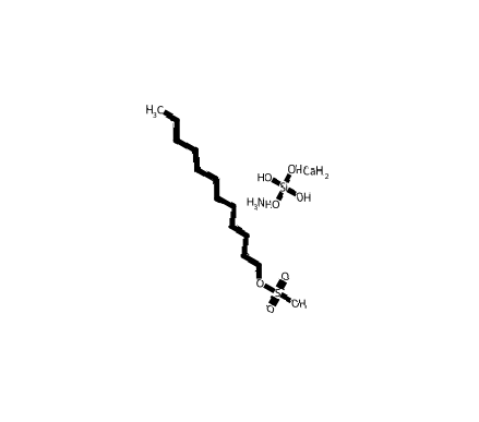 CCCCCCCCCCCCOS(=O)(=O)O.N.O[Si](O)(O)O.[CaH2]